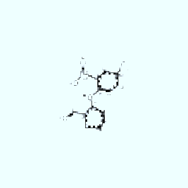 O=Cc1ccccc1Oc1ccc(Cl)cc1[N+](=O)[O-]